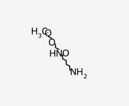 COCCOCCCNC(=O)CCCCCN